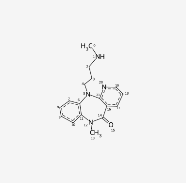 CNCCCN1c2ccccc2N(C)C(=O)c2cccnc21